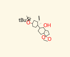 C=C[C@H]1CC(O[Si](C)(C)C(C)(C)C)CC[C@]1(C)C1CC[C@@]2(C)C(CCC23OCCO3)[C@@H]1O